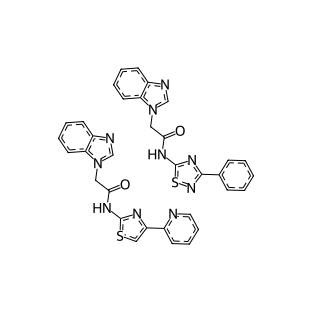 O=C(Cn1cnc2ccccc21)Nc1nc(-c2ccccc2)ns1.O=C(Cn1cnc2ccccc21)Nc1nc(-c2ccccn2)cs1